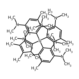 CC1=C(C)C(C)C([Si](c2c(C)c(C)cc(N(C)C)c2N(C)C)(c2c(C)c(C)cc(N(C)C)c2N(C)C)c2c(C)c(C)cc(N(C)C)c2N(C)C)=C1C